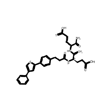 C=C(NC(CCC(=O)O)C(N)=O)[C@@H](CCC(=O)O)NC(=O)CCc1ccc(-c2cc(-c3ccccc3)cs2)cc1